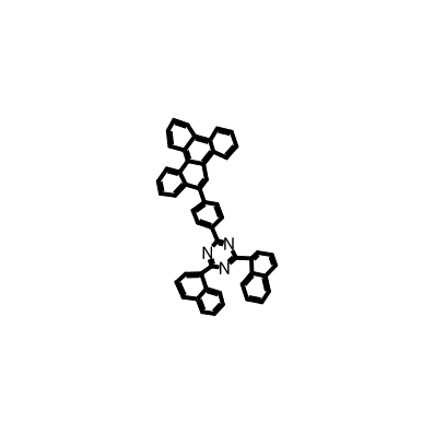 c1ccc2c(-c3nc(-c4ccc(-c5cc6c7ccccc7c7ccccc7c6c6ccccc56)cc4)nc(-c4cccc5ccccc45)n3)cccc2c1